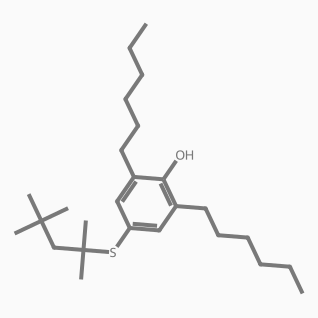 CCCCCCc1cc(SC(C)(C)CC(C)(C)C)cc(CCCCCC)c1O